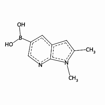 Cc1cc2cc(B(O)O)cnc2n1C